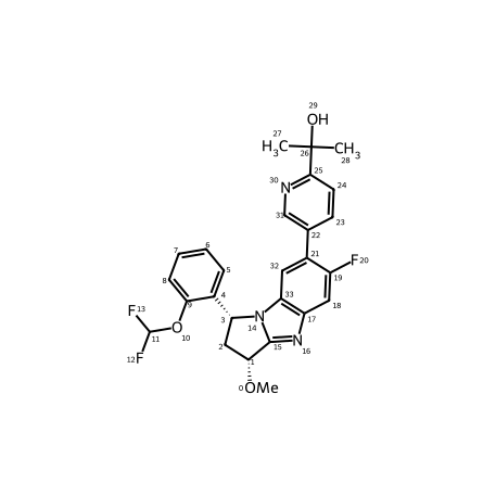 CO[C@@H]1C[C@H](c2ccccc2OC(F)F)n2c1nc1cc(F)c(-c3ccc(C(C)(C)O)nc3)cc12